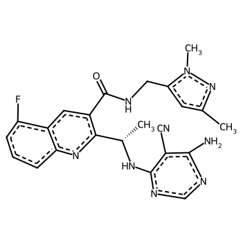 Cc1cc(CNC(=O)c2cc3c(F)cccc3nc2[C@H](C)Nc2ncnc(N)c2C#N)n(C)n1